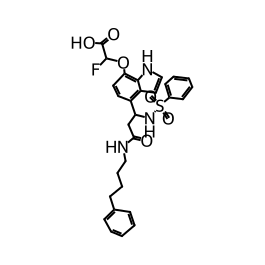 O=C(CC(NS(=O)(=O)c1ccccc1)c1ccc(OC(F)C(=O)O)c2[nH]ccc12)NCCCCc1ccccc1